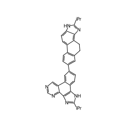 CC(C)c1nc2c3c(ccc2[nH]1)-c1ccc(-c2ccc4c(c2)c2cncnc2c2nc(C(C)C)[nH]c42)cc1CC3